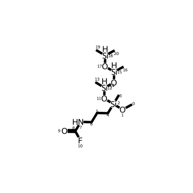 CO[Si](C)(CCCNC(=O)F)O[SiH](C)O[SiH](C)O[SiH](C)C